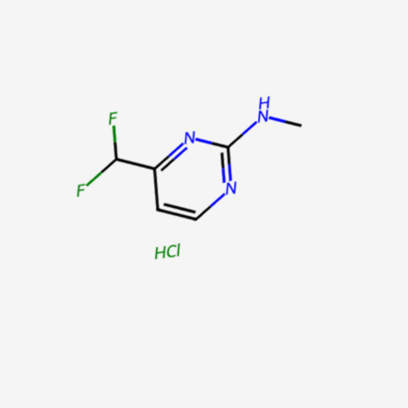 CNc1nccc(C(F)F)n1.Cl